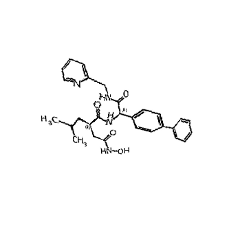 CC(C)C[C@H](CC(=O)NO)C(=O)N[C@@H](C(=O)NCc1ccccn1)c1ccc(-c2ccccc2)cc1